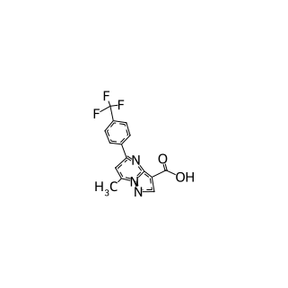 Cc1cc(-c2ccc(C(F)(F)F)cc2)nc2c(C(=O)O)cnn12